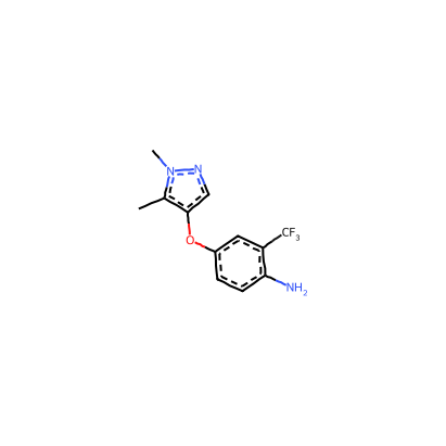 Cc1c(Oc2ccc(N)c(C(F)(F)F)c2)cnn1C